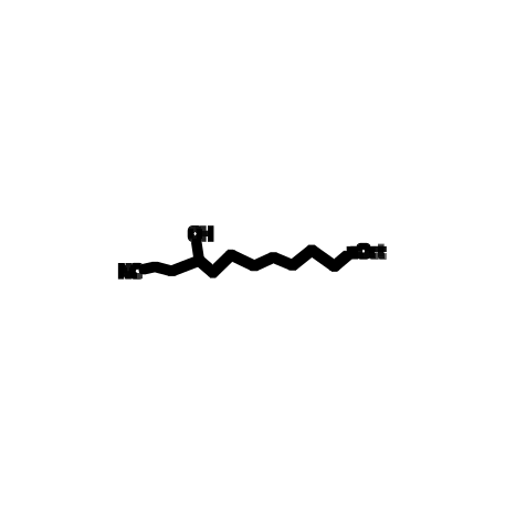 CCCCCCCCCCCCCCCC(O)CCC#N